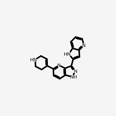 C1=C(c2ccc3[nH]nc(-c4cc5ncccc5[nH]4)c3n2)CCNC1